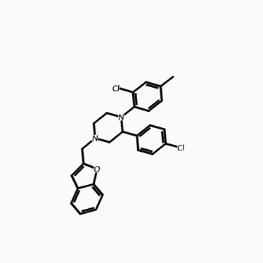 Cc1ccc(N2CCN(Cc3cc4ccccc4o3)CC2c2ccc(Cl)cc2)c(Cl)c1